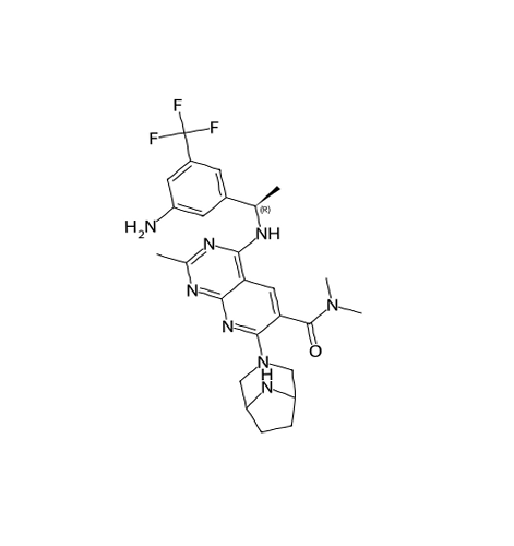 Cc1nc(N[C@H](C)c2cc(N)cc(C(F)(F)F)c2)c2cc(C(=O)N(C)C)c(N3CC4CCC(C3)N4)nc2n1